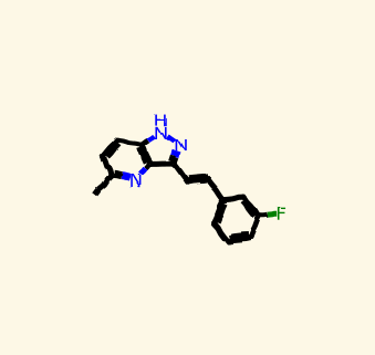 Cc1ccc2[nH]nc(/C=C/c3cccc(F)c3)c2n1